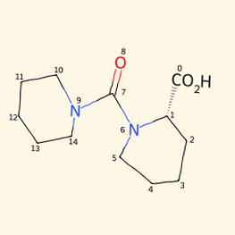 O=C(O)[C@@H]1CCCCN1C(=O)N1CCCCC1